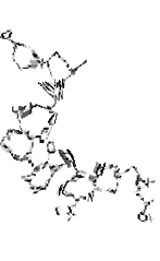 O=C(Nc1cccc(-c2cccc(Nc3nc(C(F)(F)F)nc4cc(CN5CC[C@@H](O)C5)cnc34)c2Cl)c1Cl)c1cc2n(n1)CCC[C@@H]2N1CC[C@@H](O)C1